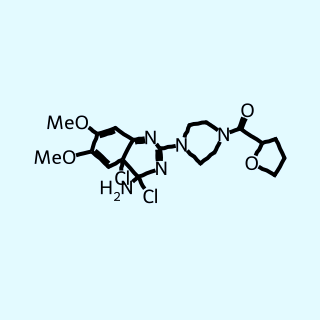 COC1=CC2=NC(N3CCN(C(=O)C4CCCO4)CC3)=NC(N)(Cl)C2(Cl)C=C1OC